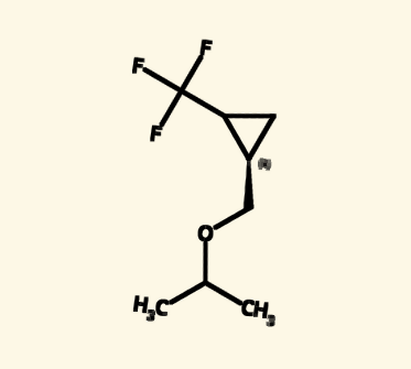 CC(C)OC[C@@H]1CC1C(F)(F)F